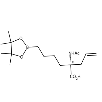 C=CC[C@@](CCCCB1OC(C)(C)C(C)(C)O1)(NC(C)=O)C(=O)O